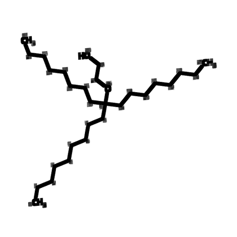 CCCCCCCCCC(CCCCCCCC)(CCCCCCCC)OCCO